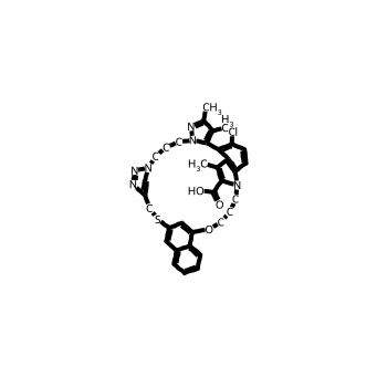 Cc1nn2c(c1C)-c1c(Cl)ccc3c1c(C)c(C(=O)O)n3CCCOc1cc(cc3ccccc13)SCc1cn(nn1)CCC2